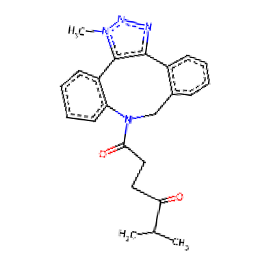 CC(C)C(=O)CCC(=O)N1Cc2ccccc2-c2nnn(C)c2-c2ccccc21